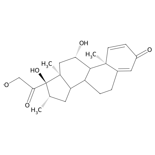 C[C@H]1CC2C3CCC4=CC(=O)C=C[C@]4(C)C3[C@@H](O)C[C@]2(C)[C@@]1(O)C(=O)C[O]